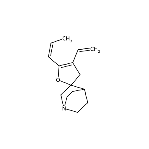 C=CC1=C(/C=C\C)OC2(C1)CN1CCC2CC1